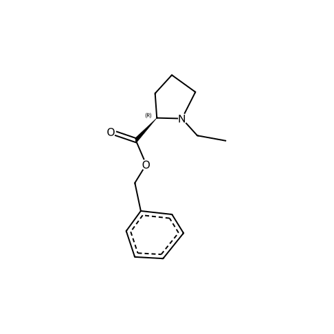 CCN1CCC[C@@H]1C(=O)OCc1ccccc1